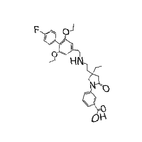 CCOc1cc(CNCCC2(CC)CC(=O)N(c3cccc(C(=O)O)c3)C2)cc(OCC)c1-c1ccc(F)cc1